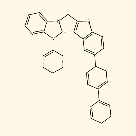 C1=CC(C2=CCC(c3ccc4sc5c(c4c3)C3N(C5)c4ccccc4N3C3=CCCCC3)C=C2)=CCC1